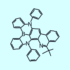 CC(C)(C)c1nc2c3c4c(cc2c2ccccc12)N(c1ccccc1)c1ccccc1B4c1ccccc1N3c1ccccc1